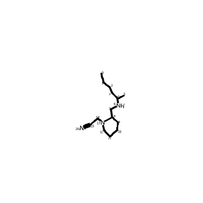 CCCCC(C)NCC1CCCCN1CC#N